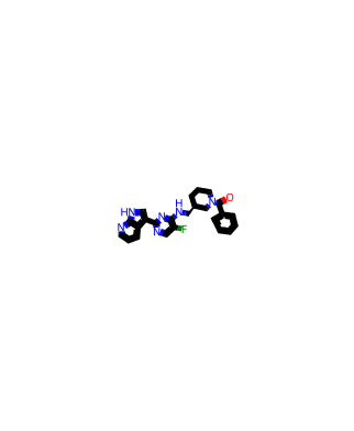 O=C(c1ccccc1)N1CCC[C@H](CNc2nc(-c3c[nH]c4ncccc34)ncc2F)C1